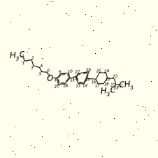 CCCCCCCOc1ccc(-c2ccc(C3CCC(CC(C)C)CC3)cc2)cc1